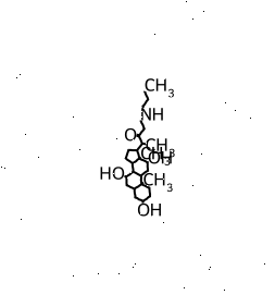 CCCCNCCC(=O)C(C)C1CCC2C3C(O)CC4CC(O)CCC4(C)C3CC(O)C12C